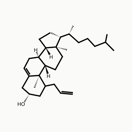 C=CCC1C[C@H](O)CC2=CC[C@H]3[C@@H]4CC[C@H]([C@H](C)CCCC(C)C)[C@@]4(C)CC[C@@H]3[C@]21C